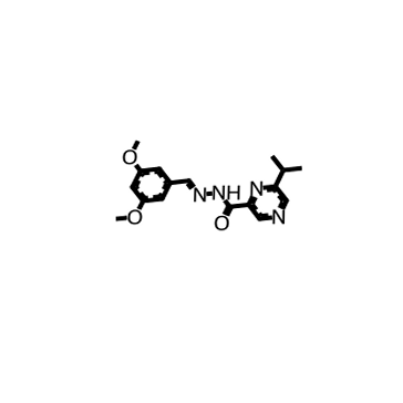 COc1cc(/C=N/NC(=O)c2cncc(C(C)C)n2)cc(OC)c1